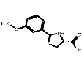 COc1cccc(C2N[C@H](C(=O)O)CS2)c1